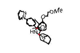 COCCOc1ccc(CN2C3CCC2CC(NC(=O)c2ccc(-n4cccn4)cc2)C3)c(C)c1C